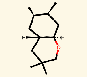 C[C@@H]1C[C@H]2CC(C)(C)CO[C@@H]2C[C@@H]1C